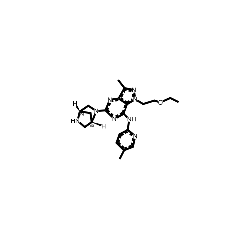 CCOCCn1nc(C)c2nc(N3C[C@@H]4C[C@H]3CN4)nc(Nc3ccc(C)cn3)c21